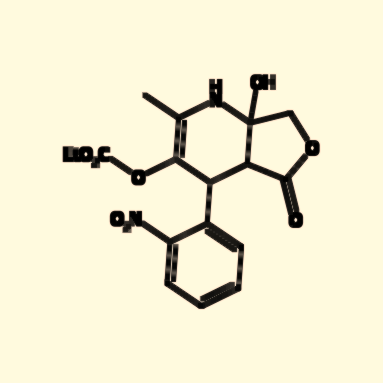 CCOC(=O)OC1=C(C)NC2(O)COC(=O)C2C1c1ccccc1[N+](=O)[O-]